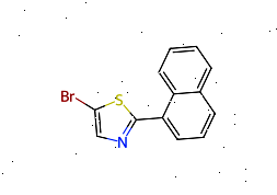 Brc1cnc(-c2cccc3ccccc23)s1